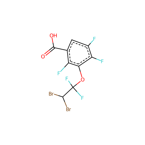 O=C(O)c1cc(F)c(F)c(OC(F)(F)C(Br)Br)c1F